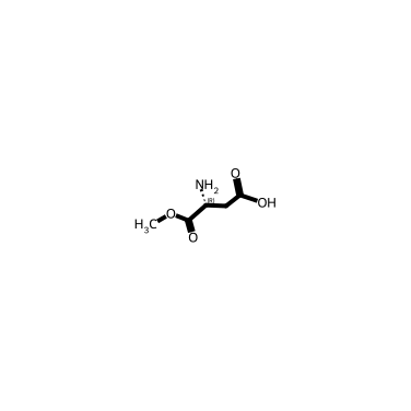 COC(=O)[C@H](N)CC(=O)O